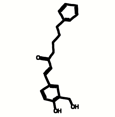 O=C(C=Cc1ccc(O)c(CO)c1)CCCCc1ccccc1